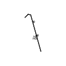 CCCCC/C=C\C/C=C\CCCCCCCC(=O)CCCCCCCCCCCCCCCC(=O)NC[C@H](O)CCCCCCCCCCCCCCCC